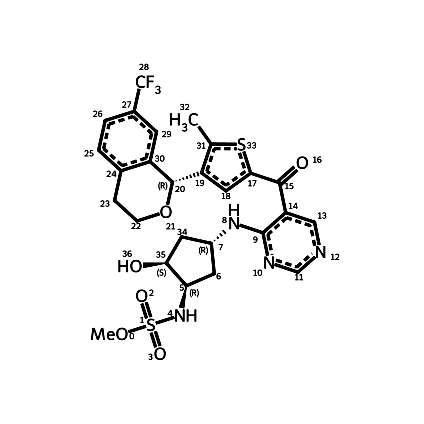 COS(=O)(=O)N[C@@H]1C[C@@H](Nc2ncncc2C(=O)c2cc([C@@H]3OCCc4ccc(C(F)(F)F)cc43)c(C)s2)C[C@@H]1O